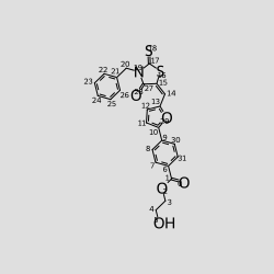 O=C(OCCO)c1ccc(-c2ccc(/C=C3/SC(=S)N(Cc4ccccc4)C3=O)o2)cc1